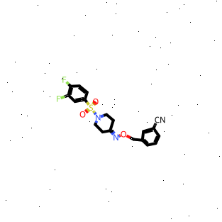 N#Cc1cccc(CON=C2CCN(S(=O)(=O)c3ccc(F)c(F)c3)CC2)c1